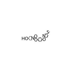 CSc1ccc(Oc2ccc(OC(=O)N3CCC(O)CC3)cc2)nc1